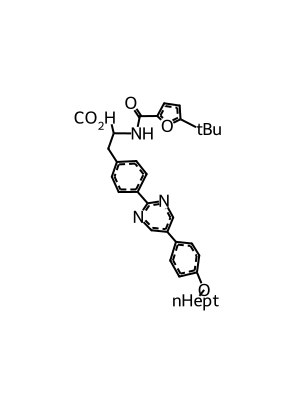 CCCCCCCOc1ccc(-c2cnc(-c3ccc(CC(NC(=O)c4ccc(C(C)(C)C)o4)C(=O)O)cc3)nc2)cc1